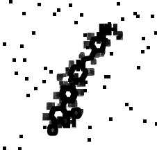 C[C@@H]1CN(CCC2CCN(N)CC2)CCN1c1ccc(C2CCC(=O)NC2=O)cc1